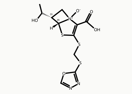 CC(O)[C@@H]1C[N+]2([O-])C(C(=O)O)=C(SCSc3nnco3)S[C@H]12